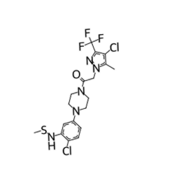 CSNc1cc(N2CCN(C(=O)Cn3nc(C(F)(F)F)c(Cl)c3C)CC2)ccc1Cl